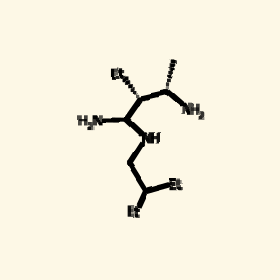 CCC(CC)CNC(N)[C@H](CC)[C@H](C)N